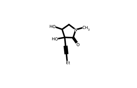 CCC#CC1(O)C(=O)N(C)CC1O